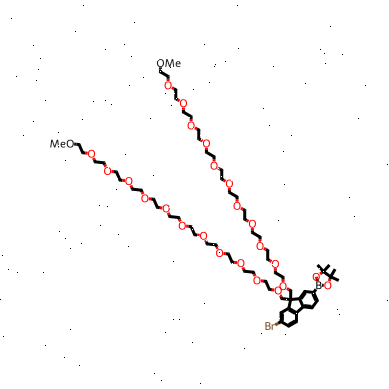 COCCOCCOCCOCCOCCOCCOCCOCCOCCOCCOCCOCC1(COCCOCCOCCOCCOCCOCCOCCOCCOCCOCCOCCOC)c2cc(Br)ccc2-c2ccc(B3OC(C)(C)C(C)(C)O3)cc21